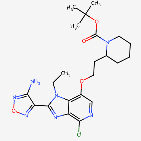 CCn1c(-c2nonc2N)nc2c(Cl)ncc(OCCC3CCCCN3C(=O)OC(C)(C)C)c21